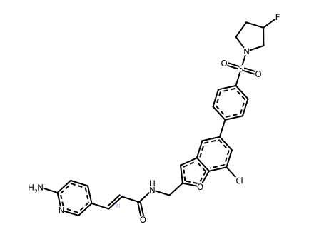 Nc1ccc(/C=C/C(=O)NCc2cc3cc(-c4ccc(S(=O)(=O)N5CCC(F)C5)cc4)cc(Cl)c3o2)cn1